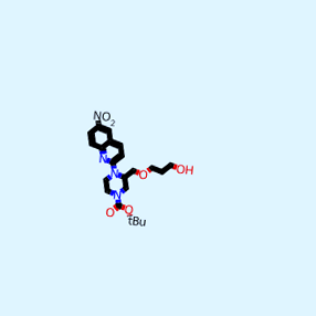 CC(C)(C)OC(=O)N1CCN(c2ccc3cc([N+](=O)[O-])ccc3n2)C(COCCCO)C1